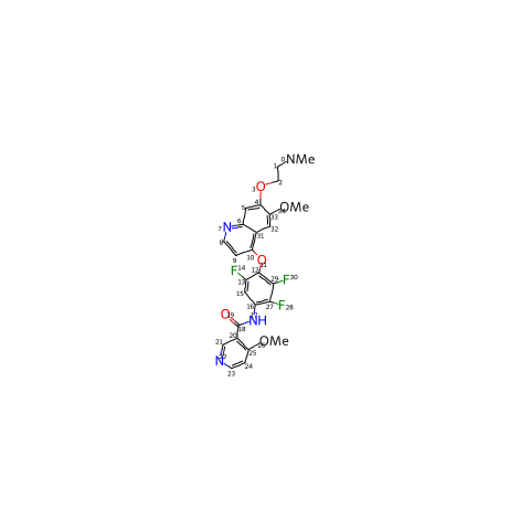 CNCCOc1cc2nccc(Oc3c(F)cc(NC(=O)c4cnccc4OC)c(F)c3F)c2cc1OC